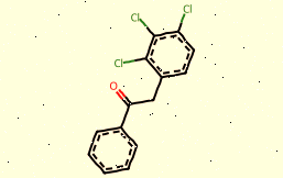 O=C(Cc1ccc(Cl)c(Cl)c1Cl)c1ccccc1